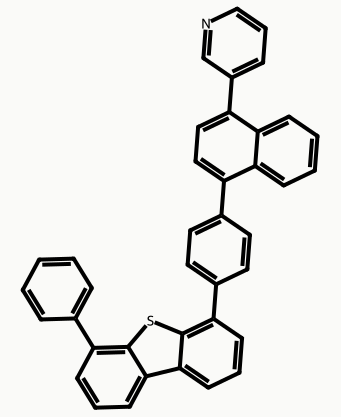 c1ccc(-c2cccc3c2sc2c(-c4ccc(-c5ccc(-c6cccnc6)c6ccccc56)cc4)cccc23)cc1